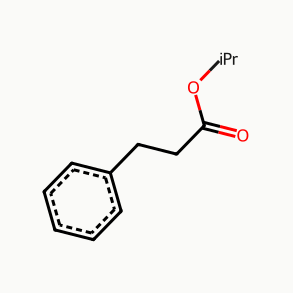 CC(C)OC(=O)CCc1ccccc1